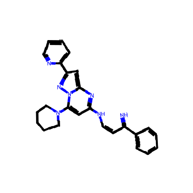 N=C(/C=C\Nc1cc(N2CCCCC2)n2nc(-c3ccccn3)cc2n1)c1ccccc1